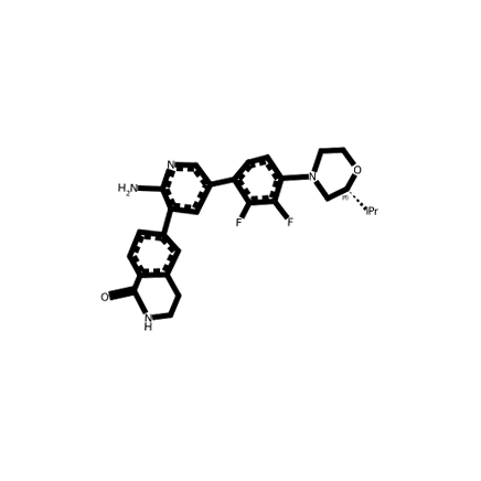 CC(C)[C@@H]1CN(c2ccc(-c3cnc(N)c(-c4ccc5c(c4)CCNC5=O)c3)c(F)c2F)CCO1